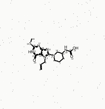 C=CCn1c(N2CCCC(NC(=O)O)C2)nc2nc(SC)[nH]c(=O)c21